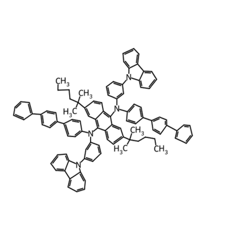 CCCCC(C)(C)c1ccc2c(N(c3ccc(-c4ccc(-c5ccccc5)cc4)cc3)c3cccc(-n4c5ccccc5c5ccccc54)c3)c3cc(C(C)(C)CCCC)ccc3c(N(c3ccc(-c4ccc(-c5ccccc5)cc4)cc3)c3cccc(-n4c5ccccc5c5ccccc54)c3)c2c1